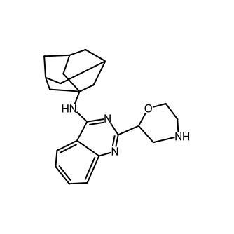 c1ccc2c(NC34CC5CC(CC(C5)C3)C4)nc(C3CNCCO3)nc2c1